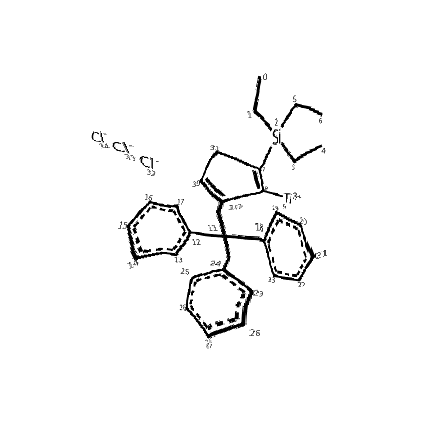 CC[Si](CC)(CC)C1=[C]([Ti+3])C(C(c2ccccc2)(c2ccccc2)c2ccccc2)=CC1.[Cl-].[Cl-].[Cl-]